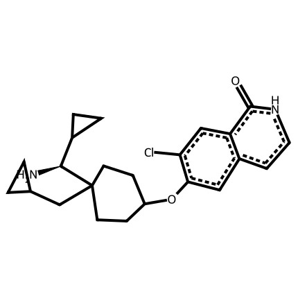 N[C@@H](C1CC1)C1(CC2CC2)CCC(Oc2cc3cc[nH]c(=O)c3cc2Cl)CC1